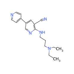 CCN(CC)CCCNc1ncc(-c2ccncc2)cc1C#N